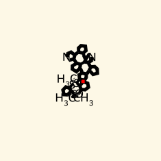 C[Si]1(C)Oc2ccccc2[Si](C)(c2ccc3c(c2)c2cccc4c2-c2c(cncc2c2ccccc23)c2ccccc2c2ccncc42)Sc2ccccc21